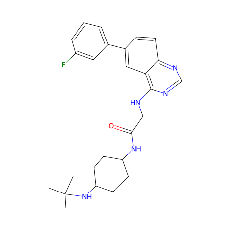 CC(C)(C)NC1CCC(NC(=O)CNc2ncnc3ccc(-c4cccc(F)c4)cc23)CC1